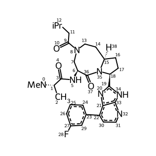 CN[C@@H](C)C(=O)N[C@H]1CN(C(=O)CC(C)C)CC[C@H]2CC[C@@H](c3nc4c(-c5cccc(F)c5)ccnc4[nH]3)N2C1=O